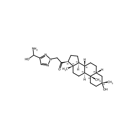 C[C@@]1(O)CC[C@@]2(C)[C@H](CC[C@@H]3[C@@H]2CC[C@]2(C)[C@@H](C(=O)Cn4ncc(C(N)O)n4)CC[C@@H]32)C1